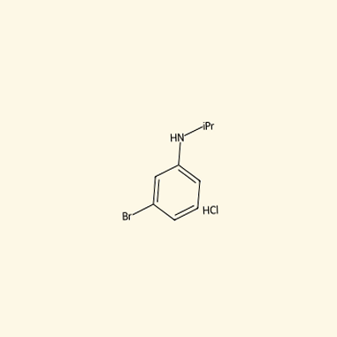 CC(C)Nc1cccc(Br)c1.Cl